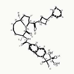 C[C@]1(NC(=O)c2cc3cc(C(F)(F)P(=O)(O)O)ccc3s2)CCCC[C@H]2CC[C@@H](C(=O)N3CC(c4ccccn4)C3)N2C1=O